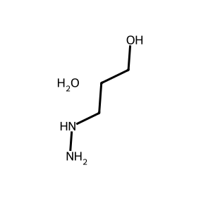 NNCCCO.O